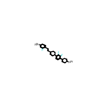 CCCCc1ccc(CCC2CCC(c3ccc(C4CCC(CCC)CC4)c(F)c3F)CC2)c(F)c1